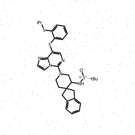 CC(C)Sc1ccccc1Sc1cnc(N2CCC3(Cc4ccccc4C3)C(N[S@+]([O-])C(C)(C)C)C2)n2ccnc12